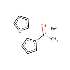 C[C@@H](O)[c-]1cccc1.[Fe+2].c1cc[cH-]c1